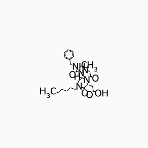 CCCCCCN1C[C@H]2N(C(=O)CN(C)N2C(=O)NCc2ccccc2)[C@@H](CC(=O)O)C1=O